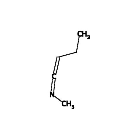 CCC=C=NC